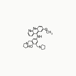 COc1ccc2nc3ncccc3c(Nc3cc(CN4CCCC4)c(O)c(CN4CCCC4)c3)c2c1